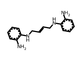 Nc1ccccc1NC/C=C/CNc1ccccc1N